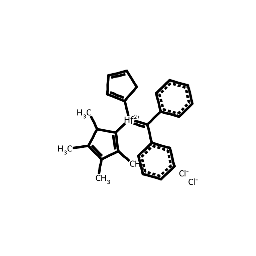 CC1=C(C)C(C)[C]([Hf+2]([C]2=CC=CC2)=[C](c2ccccc2)c2ccccc2)=C1C.[Cl-].[Cl-]